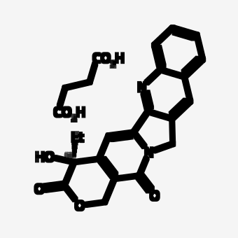 CC[C@@]1(O)C(=O)OCc2c1cc1n(c2=O)Cc2cc3ccccc3nc2-1.O=C(O)CCC(=O)O